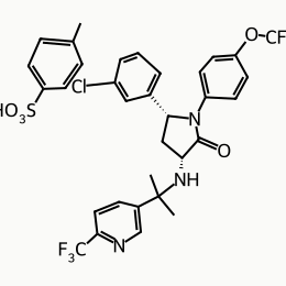 CC(C)(N[C@@H]1C[C@H](c2cccc(Cl)c2)N(c2ccc(OC(F)(F)F)cc2)C1=O)c1ccc(C(F)(F)F)nc1.Cc1ccc(S(=O)(=O)O)cc1